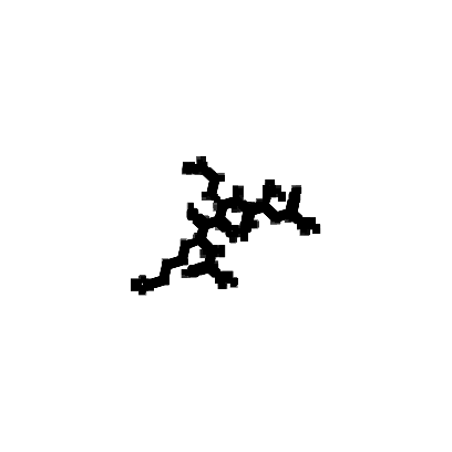 C=C(C(=O)[C@H](CCCCN)NC(N)=O)[C@H](CCSC)NC(=O)[C@@H](N)CC(N)=O